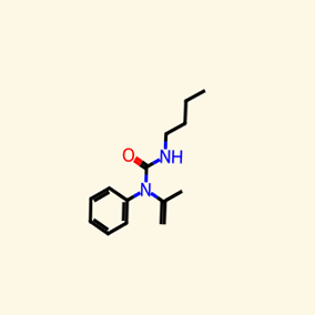 C=C(C)N(C(=O)NCCCC)c1ccccc1